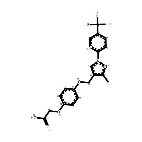 Cc1nn(-c2ccc(C(F)(F)F)cn2)cc1COc1ccc(OCC(=O)O)cc1